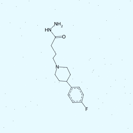 NNC(=O)CCCN1CCC(c2ccc(F)cc2)CC1